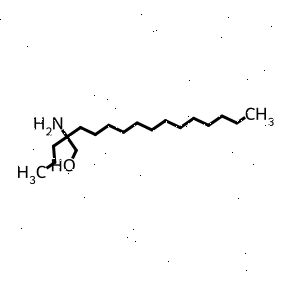 CCCCCCCCCCCCCC(N)(CO)CCC